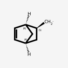 [CH2][C@H]1C[C@H]2C=C[C@@H]1C2